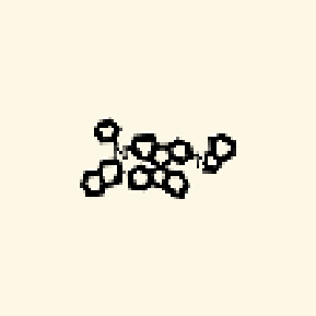 c1ccc(N(c2ccc3c(c2)C2(c4ccccc4-c4ccccc42)c2cc(-n4ccc5ccccc54)ccc2-3)c2ccc3ccccc3c2)cc1